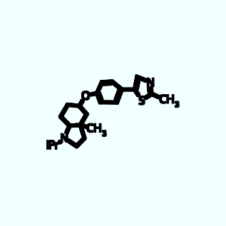 Cc1ncc(-c2ccc(OC3CCC4N(C(C)C)CCC4(C)C3)cc2)s1